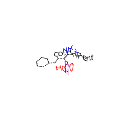 CCCCCC(N)C(C(CC1CCCCC1)C(=O)O)[PH](=O)O